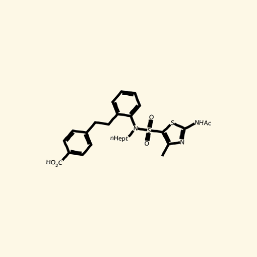 CCCCCCCN(c1ccccc1CCc1ccc(C(=O)O)cc1)S(=O)(=O)c1sc(NC(C)=O)nc1C